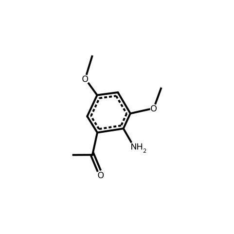 COc1cc(OC)c(N)c(C(C)=O)c1